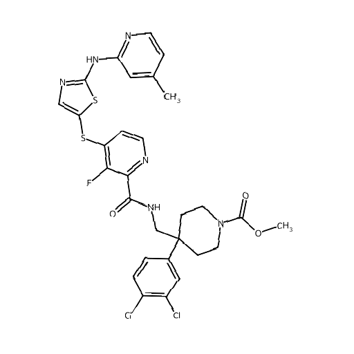 COC(=O)N1CCC(CNC(=O)c2nccc(Sc3cnc(Nc4cc(C)ccn4)s3)c2F)(c2ccc(Cl)c(Cl)c2)CC1